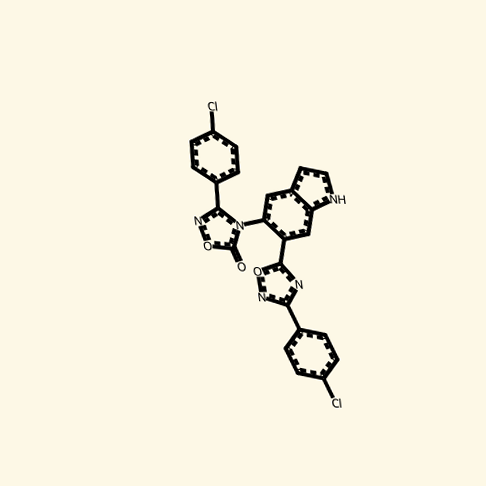 O=c1onc(-c2ccc(Cl)cc2)n1-c1cc2cc[nH]c2cc1-c1nc(-c2ccc(Cl)cc2)no1